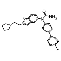 NC(=O)N(c1ccc(-c2ccc(F)cc2)cc1)c1ccc2nn(CCN3CCCC3)cc2c1